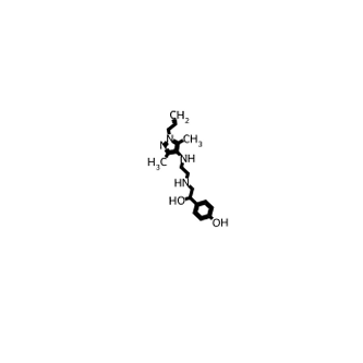 C=CCn1nc(C)c(NCCNCC(O)c2ccc(O)cc2)c1C